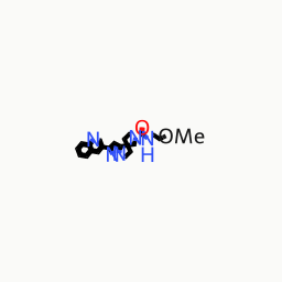 COCCNC(=O)N1CCC2(CCn3nc(-c4cnc5ccccc5c4)cc32)C1